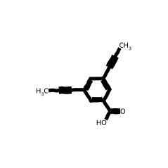 CC#Cc1cc(C#CC)cc(C(=O)O)c1